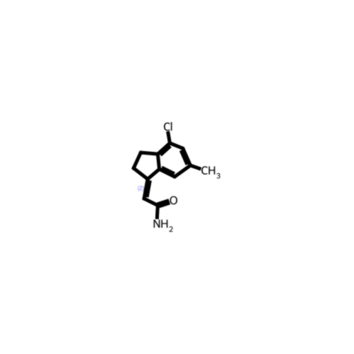 Cc1cc(Cl)c2c(c1)/C(=C\C(N)=O)CC2